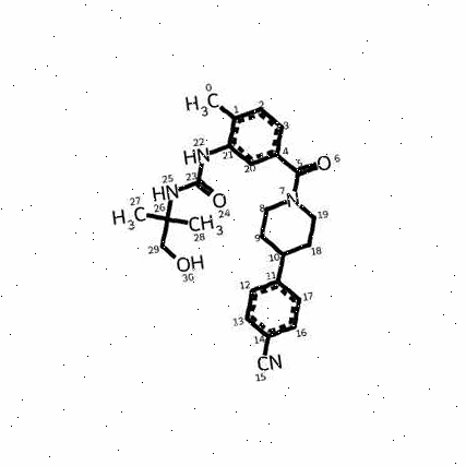 Cc1ccc(C(=O)N2CCC(c3ccc(C#N)cc3)CC2)cc1NC(=O)NC(C)(C)CO